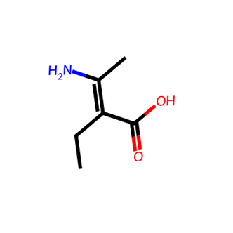 CCC(C(=O)O)=C(C)N